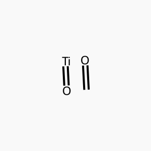 C=O.[O]=[Ti]